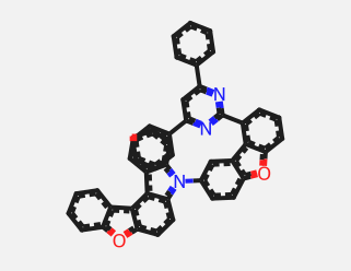 c1ccc(-c2cc(-c3ccccc3)nc(-c3cccc4oc5ccc(-n6c7ccccc7c7c8c(ccc76)oc6ccccc68)cc5c34)n2)cc1